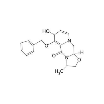 C[C@H]1CO[C@@H]2CN3C=CC(O)C(OCc4ccccc4)=C3C(=O)N12